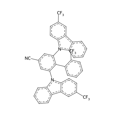 N#Cc1cc(-n2c3ccccc3c3cc(C(F)(F)F)ccc32)c(-c2ccccc2C(F)(F)F)c(-n2c3ccccc3c3cc(C(F)(F)F)ccc32)c1